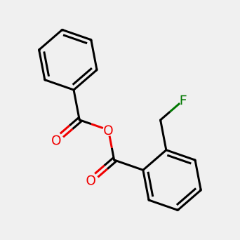 O=C(OC(=O)c1ccccc1CF)c1ccccc1